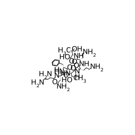 C[C@@H](O)[C@H](NC(=O)[C@H](CCN)NC(=O)[C@H](CCCN)NC(=O)[C@@H](NC(=O)[C@@H](Cc1ccccc1)NC(=O)[C@H](CCN)NC(=O)[C@@H](N)CCN)[C@@H](C)O)C(=O)O